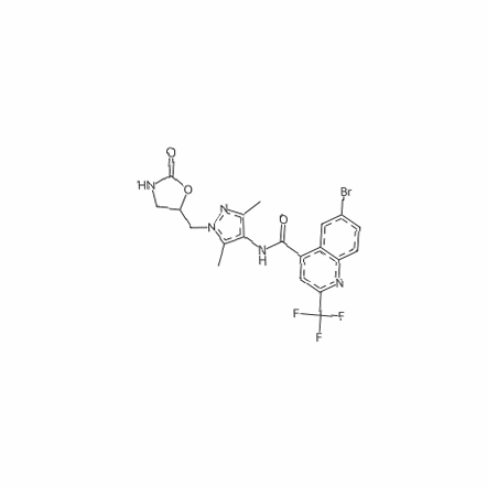 Cc1nn(CC2CNC(=O)O2)c(C)c1NC(=O)c1cc(C(F)(F)F)nc2ccc(Br)cc12